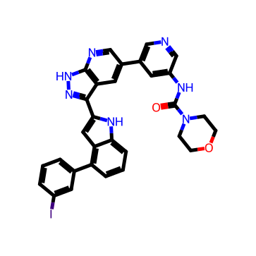 O=C(Nc1cncc(-c2cnc3[nH]nc(-c4cc5c(-c6cccc(I)c6)cccc5[nH]4)c3c2)c1)N1CCOCC1